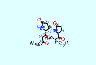 CC(C(=O)O)C(=O)[C@@H]1CCC(=O)N1.COC(=O)CC(=O)[C@@H]1CCC(=O)N1